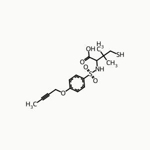 CC#CCOc1ccc(S(=O)(=O)NC(C(=O)O)C(C)(C)CS)cc1